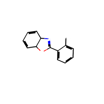 Cc1ccccc1C1=NC2C=CC=CC2O1